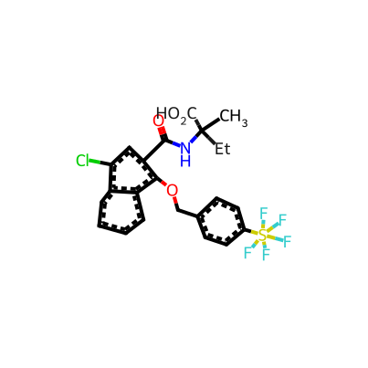 CCC(C)(NC(=O)c1cc(Cl)c2ccccc2c1OCc1ccc(S(F)(F)(F)(F)F)cc1)C(=O)O